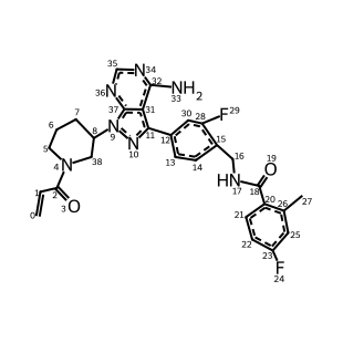 C=CC(=O)N1CCCC(n2nc(-c3ccc(CNC(=O)c4ccc(F)cc4C)c(F)c3)c3c(N)ncnc32)C1